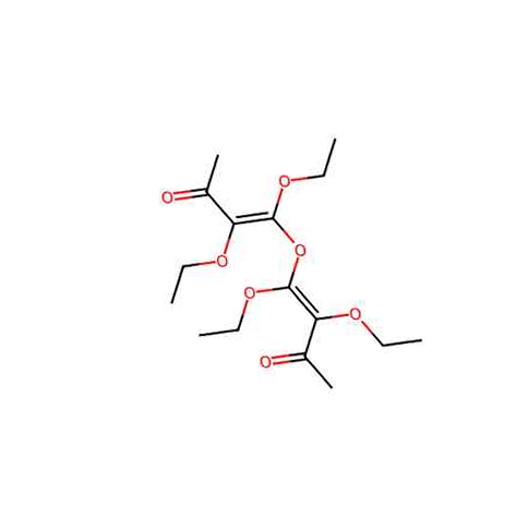 CCOC(OC(OCC)=C(OCC)C(C)=O)=C(OCC)C(C)=O